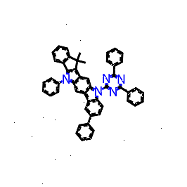 CC1(C)c2ccccc2-c2c1c1cc3c(cc1n2-c1ccccc1)c1cc(-c2ccccc2)ccc1n3-c1nc(-c2ccccc2)nc(-c2ccccc2)n1